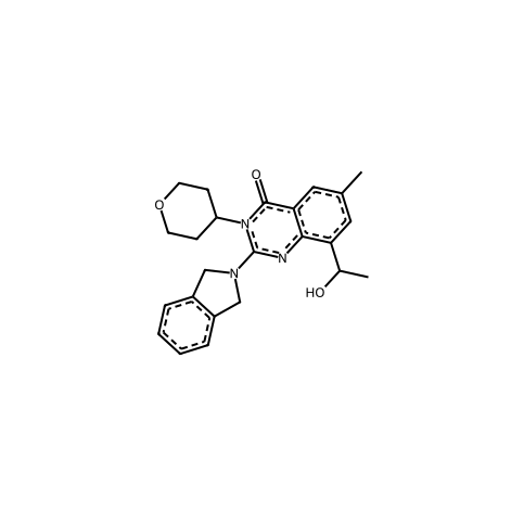 Cc1cc(C(C)O)c2nc(N3Cc4ccccc4C3)n(C3CCOCC3)c(=O)c2c1